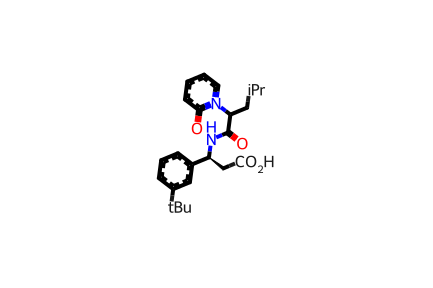 CC(C)CC(C(=O)N[C@@H](CC(=O)O)c1cccc(C(C)(C)C)c1)n1ccccc1=O